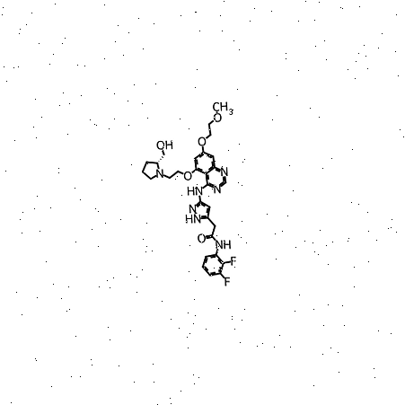 COCCOc1cc(OCCN2CCC[C@@H]2CO)c2c(Nc3cc(CC(=O)Nc4cccc(F)c4F)[nH]n3)ncnc2c1